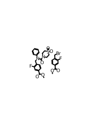 COC(=O)c1ccc(CBr)c(F)c1.COC(=O)c1ccc(CN(C(=O)N2CCS(=O)(=O)CC2)c2ccccc2)c(F)c1